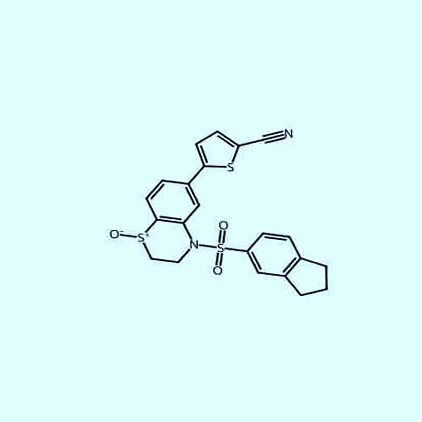 N#Cc1ccc(-c2ccc3c(c2)N(S(=O)(=O)c2ccc4c(c2)CCC4)CC[S+]3[O-])s1